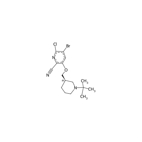 CC(C)(C)N1CCC[C@@H](COc2cc(Br)c(Cl)nc2C#N)C1